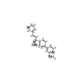 Nc1cc(-c2ccc3c(C=Cc4cccnc4)n[nH]c3c2)ccn1